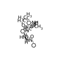 COc1c(NC(=O)c2cccc(N3C=C(C(=O)NCc4ccccc4)NN3)c2)cc(C(C)(C)C)cc1NS(C)(=O)=O